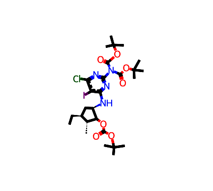 CC[C@H]1C[C@@H](Nc2nc(N(C(=O)OC(C)(C)C)C(=O)OC(C)(C)C)nc(Cl)c2I)C(OC(=O)OC(C)(C)C)[C@@H]1C